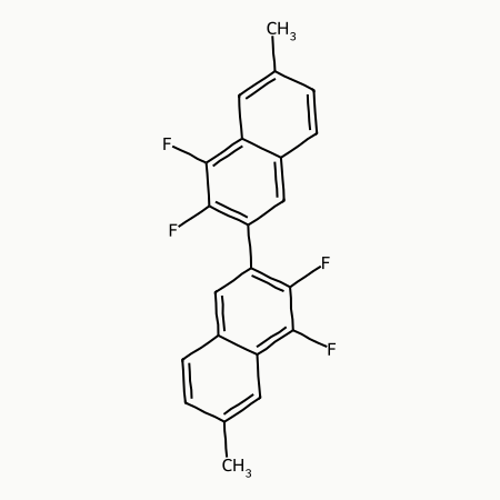 Cc1ccc2cc(-c3cc4ccc(C)cc4c(F)c3F)c(F)c(F)c2c1